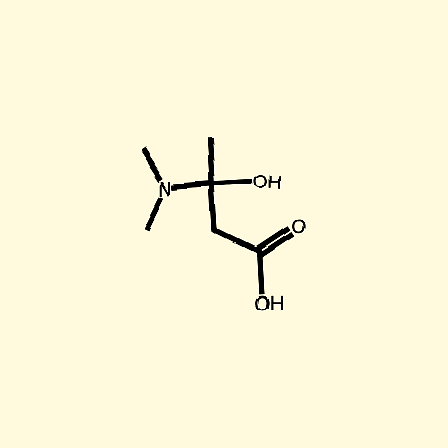 CN(C)C(C)(O)CC(=O)O